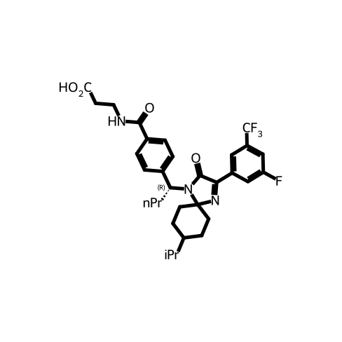 CCC[C@H](c1ccc(C(=O)NCCC(=O)O)cc1)N1C(=O)C(c2cc(F)cc(C(F)(F)F)c2)=NC12CCC(C(C)C)CC2